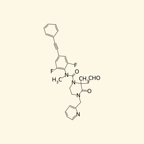 CN(C(=O)N1CCN(Cc2ccccn2)C(=O)C1(C)CC=O)c1c(F)cc(C#Cc2ccccc2)cc1F